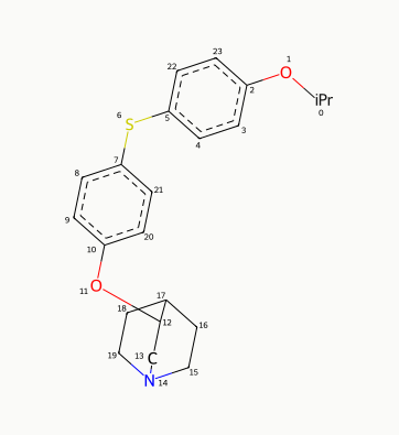 CC(C)Oc1ccc(Sc2ccc(OC3CN4CCC3CC4)cc2)cc1